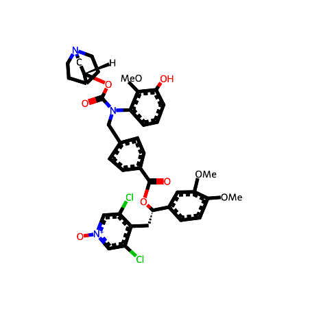 COc1ccc([C@H](Cc2c(Cl)c[n+]([O-])cc2Cl)OC(=O)c2ccc(CN(C(=O)O[C@H]3CN4CCC3CC4)c3cccc(O)c3OC)cc2)cc1OC